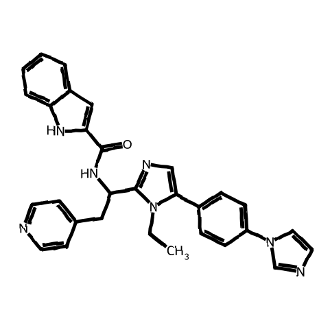 CCn1c(-c2ccc(-n3ccnc3)cc2)cnc1C(Cc1ccncc1)NC(=O)c1cc2ccccc2[nH]1